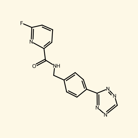 O=C(NCc1ccc(-c2nncnn2)cc1)c1cccc(F)n1